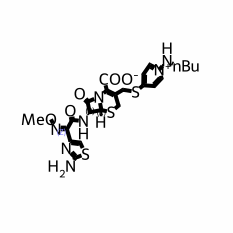 CCCCN[n+]1ccc(SCC2=C(C(=O)[O-])N3C(=O)[C@@H](NC(=O)/C(=N\OC)c4csc(N)n4)[C@H]3SC2)cc1